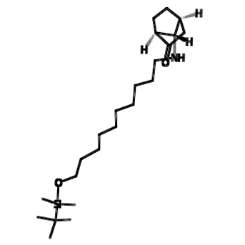 CC(C)(C)[Si](C)(C)OCCCCCCCCCCN[C@H]1[C@H]2CC[C@@H]1C(=O)C2